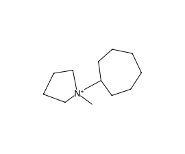 C[N+]1(C2CCCCCC2)CCCC1